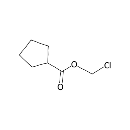 O=C(OCCl)C1CCCC1